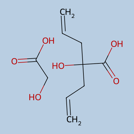 C=CCC(O)(CC=C)C(=O)O.O=C(O)CO